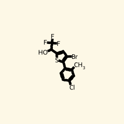 Cc1cc(Cl)ccc1-c1sc(C(O)C(F)(F)F)cc1Br